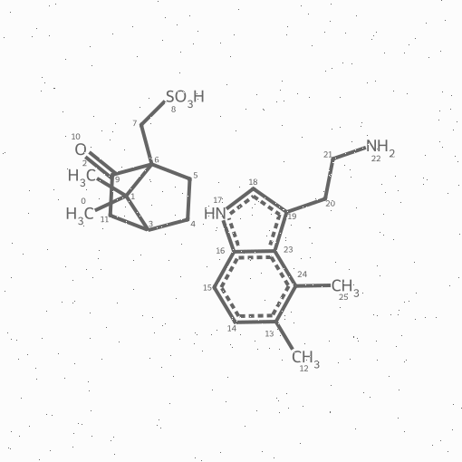 CC1(C)C2CCC1(CS(=O)(=O)O)C(=O)C2.Cc1ccc2[nH]cc(CCN)c2c1C